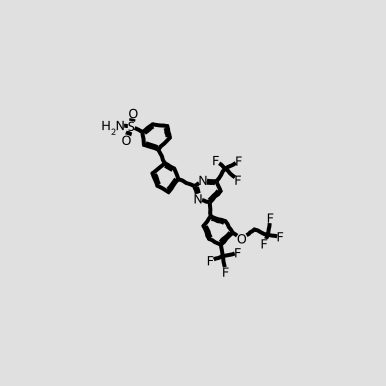 NS(=O)(=O)c1cccc(-c2cccc(-c3nc(-c4ccc(C(F)(F)F)c(OCC(F)(F)F)c4)cc(C(F)(F)F)n3)c2)c1